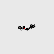 Cc1ccc2c(OCCN3CCC(Cc4cccc(C(=O)NC5CCCC5)c4)CC3)cccc2n1